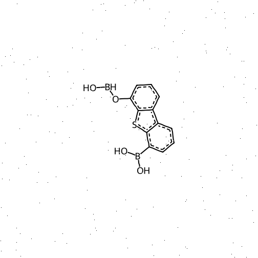 OBOc1cccc2c1sc1c(B(O)O)cccc12